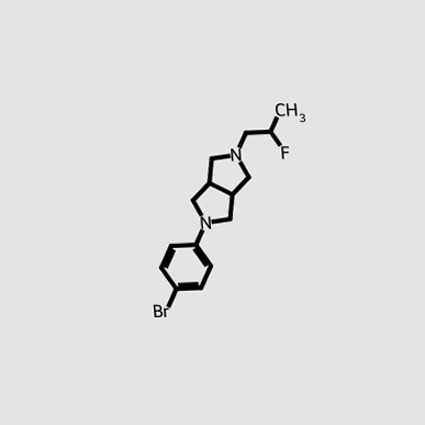 CC(F)CN1CC2CN(c3ccc(Br)cc3)CC2C1